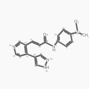 C[S+]([O-])c1ccc(NC(=O)/C=C/c2cnccc2-c2cn[nH]c2)cc1